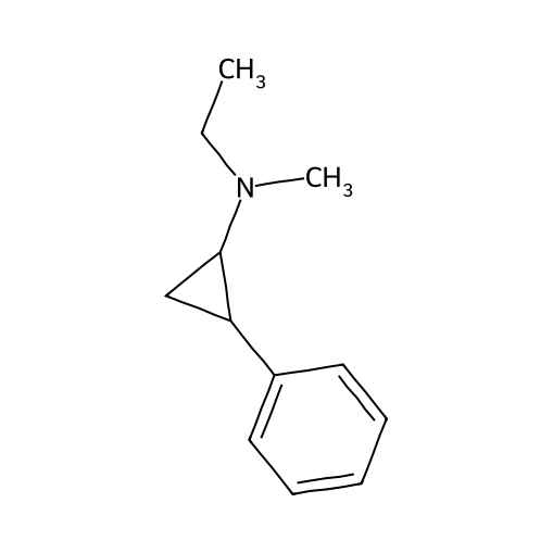 CCN(C)C1CC1c1ccccc1